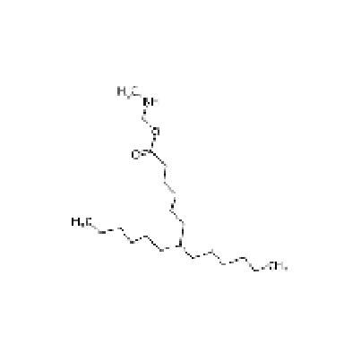 CCCCCCC(CCCCCC)CCCCCC(=O)OCNC